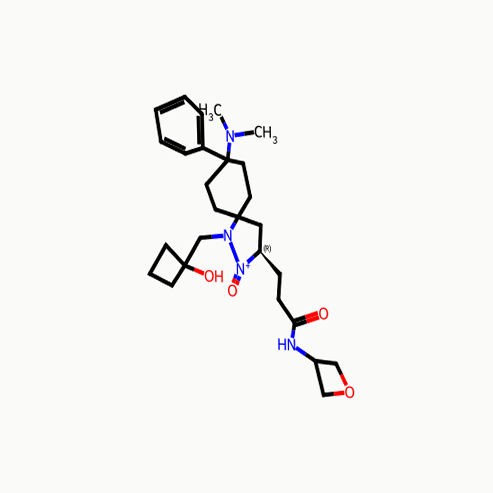 CN(C)C1(c2ccccc2)CCC2(CC1)C[C@@H](CCC(=O)NC1COC1)[N+](=O)N2CC1(O)CCC1